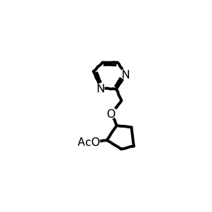 CC(=O)OC1CCCC1OCc1ncccn1